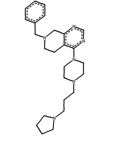 c1ccc(CN2CCc3c(ncnc3N3CCN(CCCN4CCCC4)CC3)C2)cc1